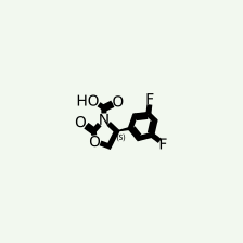 O=C(O)N1C(=O)OC[C@@H]1c1cc(F)cc(F)c1